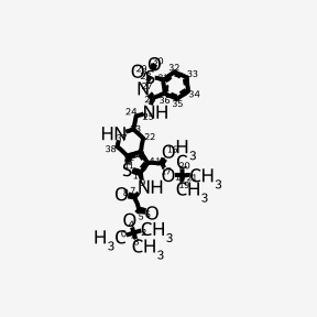 CC(C)(C)OC(=O)C(=O)Nc1sc2c(c1C(=O)OC(C)(C)C)CC(CNC1=NS(=O)(=O)c3ccccc31)NC2